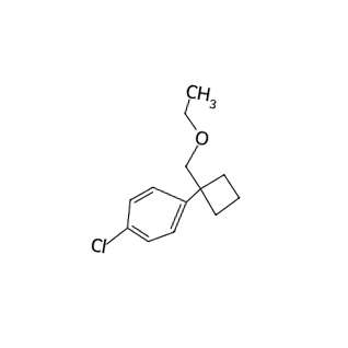 CCOCC1(c2ccc(Cl)cc2)CCC1